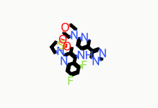 Cc1c(N2CCCS2(=O)=O)nc2cc(F)cc(F)c2c1Nc1cc(N2CCOCC2)ncc1-c1cncnc1